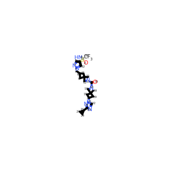 N=S(=O)(c1cnn(CC2CC3(C2)CN(C(=O)N2CC4(CC(n5cnc(C6CC6)n5)C4)C2)C3)c1)C(F)(F)F